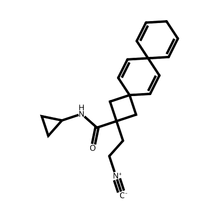 [C-]#[N+]CCC1(C(=O)NC2CC2)CC2(C=CC3(C=CCC=C3)C=C2)C1